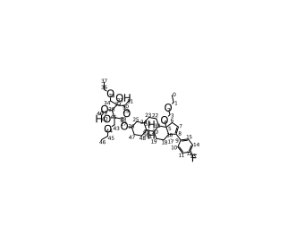 CCOCO[C@@]12CC=C(c3ccc(F)cc3)[C@@]1(C)CC[C@@H]1[C@H]2CCC2CC(O[C@@H]3O[C@H](C)[C@](O)(COCC)[C@H](OC)[C@]3(O)COCC)CC[C@@]21C